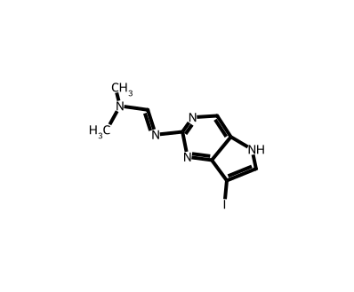 CN(C)/C=N/c1ncc2[nH]cc(I)c2n1